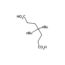 CCCCC(CCCC)(CCC(=O)O)CCC(=O)O